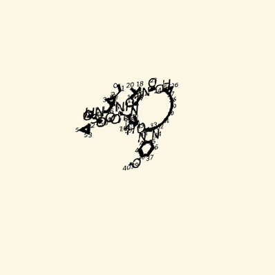 CC[C@@H]1C[C@]1(NC(=O)[C@@H]1[C@H](C)[C@@H]2CN1C(=O)[C@H](C(C)(C)C)NC(=O)O[C@@H]1CC1CCCCCc1nc3ccc(OC)cc3nc1O2)C(=O)NS(=O)(=O)C1CC1